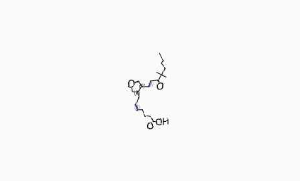 CCCCC(C)(C)C(=O)/C=C/[C@@H]1COC[C@@H]1C/C=C\CCCC(=O)O